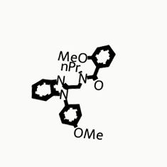 CCCN(Cc1nc2ccccc2n1-c1ccc(OC)cc1)C(=O)c1ccccc1OC